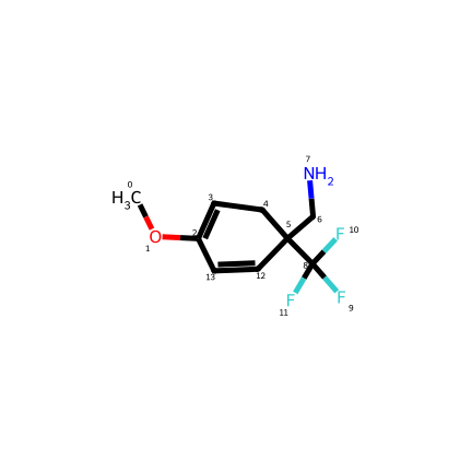 COC1=CCC(CN)(C(F)(F)F)C=C1